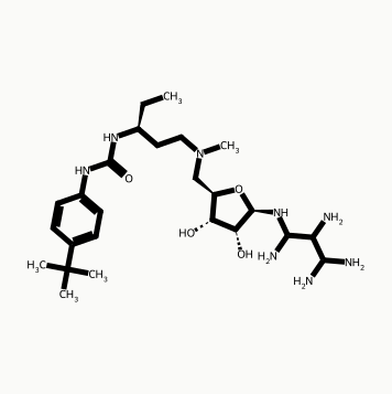 CC[C@@H](CCN(C)C[C@H]1O[C@@H](NC(N)C(N)C(N)N)[C@H](O)[C@@H]1O)NC(=O)Nc1ccc(C(C)(C)C)cc1